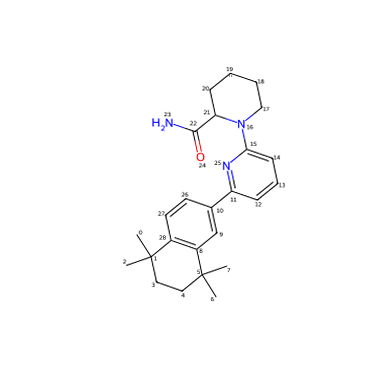 CC1(C)CCC(C)(C)c2cc(-c3cccc(N4CC[C]CC4C(N)=O)n3)ccc21